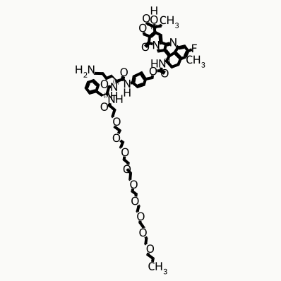 CCCOCCOCCOCCOCCOCCOCCOCCOCCOCCC(=O)N[C@@H](Cc1ccccc1)C(=O)N[C@@H](CCCCN)C(=O)Nc1ccc(COC(=O)N[C@H]2CCc3c(C)c(F)cc4nc5c(c2c34)Cn2c-5cc3c(c2=O)COC(=O)[C@]3(O)CC)cc1